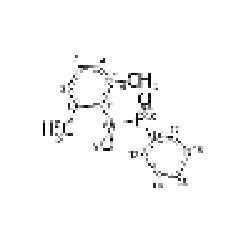 Cc1cccc(C)c1C(=O)[P](=O)c1ccccc1